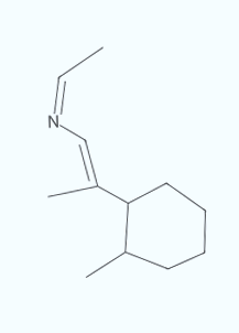 C/C=N\C=C(/C)C1CCCCC1C